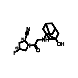 N#C[C@@H]1C[C@H](F)CN1C(=O)CNC12CC3CC(CC(O)(C3)C1)C2